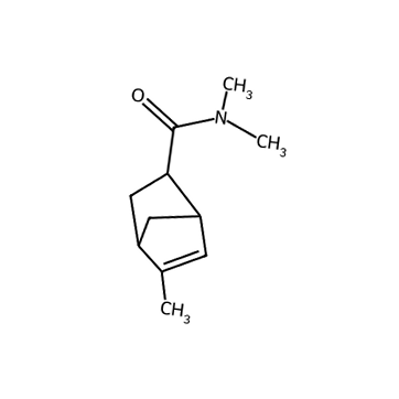 CC1=CC2CC1CC2C(=O)N(C)C